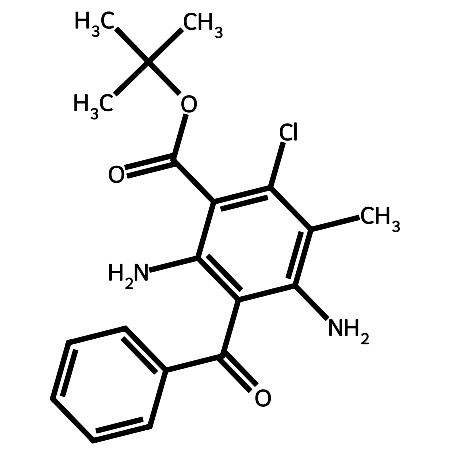 Cc1c(N)c(C(=O)c2ccccc2)c(N)c(C(=O)OC(C)(C)C)c1Cl